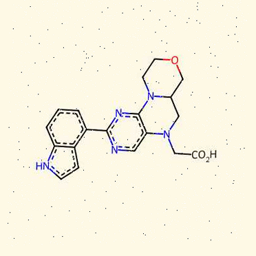 O=C(O)CN1CC2COCCN2c2nc(-c3cccc4[nH]ccc34)ncc21